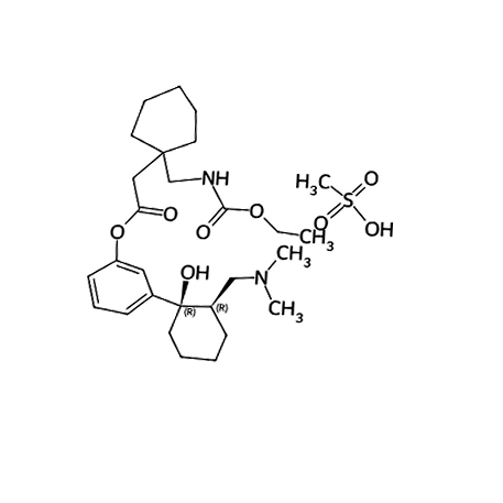 CCOC(=O)NCC1(CC(=O)Oc2cccc([C@@]3(O)CCCC[C@@H]3CN(C)C)c2)CCCCC1.CS(=O)(=O)O